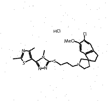 COc1cc2c(cc1Cl)CCC21CCN(CCCSc2nnc(-c3sc(C)nc3C)n2C)C1.Cl